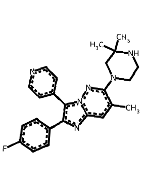 Cc1cc2nc(-c3ccc(F)cc3)c(-c3ccncc3)n2nc1N1CCNC(C)(C)C1